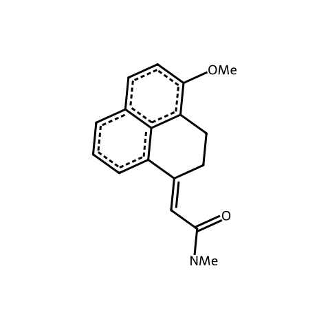 CNC(=O)/C=C1\CCc2c(OC)ccc3cccc1c23